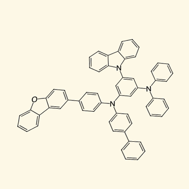 c1ccc(-c2ccc(N(c3ccc(-c4ccc5oc6ccccc6c5c4)cc3)c3cc(N(c4ccccc4)c4ccccc4)cc(-n4c5ccccc5c5ccccc54)c3)cc2)cc1